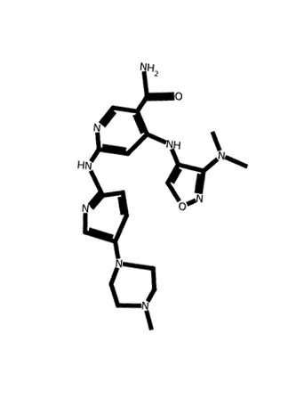 CN1CCN(c2ccc(Nc3cc(Nc4conc4N(C)C)c(C(N)=O)cn3)nc2)CC1